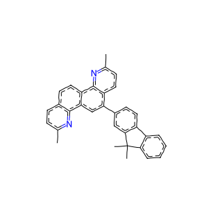 Cc1ccc2ccc3c(cc(-c4ccc5c(c4)C(C)(C)c4ccccc4-5)c4ccc(C)nc43)c2n1